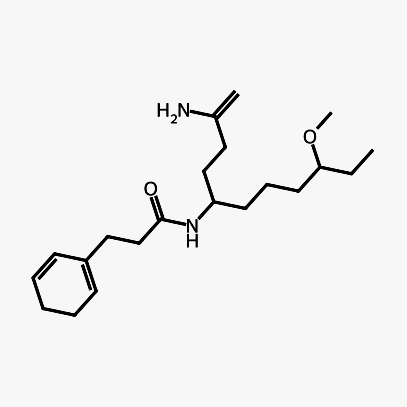 C=C(N)CCC(CCCC(CC)OC)NC(=O)CCC1=CCCC=C1